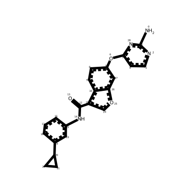 Nc1nccc(Oc2ccc3c(C(=O)Nc4cccc(C5CC5)c4)coc3c2)n1